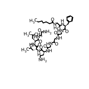 CCCCCCC(=O)NCC(=O)N[C@@H](Cc1ccccc1)C(=O)NCC(=O)NCC(=O)NCC(=O)N[C@@H](CCN)C(=O)N[C@H](CC(C)C)C(=O)N[C@@H](CC(C)C)C(=O)NCC(N)=O